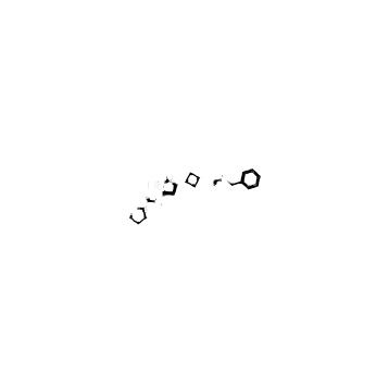 O=C(NCc1ccccc1)O[C@H]1C[C@@H](c2cc(NC(=O)[C@H]3CCCO3)[nH]n2)C1